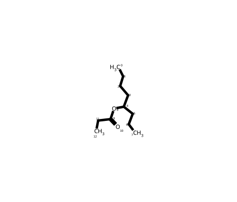 CCCCC(CCC)OC(=O)CC